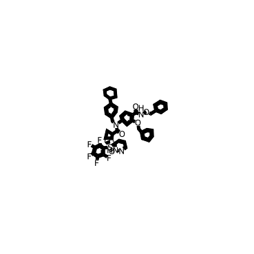 O=C(NOCc1ccccc1)c1ccc(N(Cc2ccc(C3CCCCC3)cc2)C(=O)C2CC[C@H]2C2(S(=O)(=O)c3c(F)c(F)c(F)c(F)c3F)C=CC=NN2)cc1OCc1ccccc1